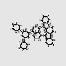 C1=CCCC(n2c3ccccc3c3ccc4c5ccccc5n(-c5ccc(-c6cc(-c7ccccc7)cc(-c7ccccc7)c6)cc5)c4c32)=C1